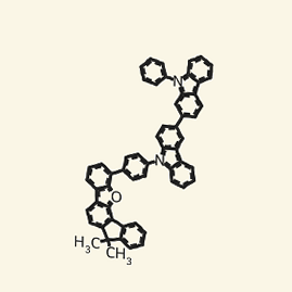 CC1(C)c2ccccc2-c2c1ccc1c2oc2c(-c3ccc(-n4c5ccccc5c5cc(-c6ccc7c8ccccc8n(-c8ccccc8)c7c6)ccc54)cc3)cccc21